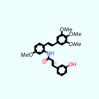 COc1ccc(C=Cc2cc(OC)c(OC)c(OC)c2)c(NC(=O)/C=C/c2cccc(O)c2)c1